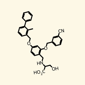 Cc1c(COc2ccc(CNC(CO)C(=O)O)c(OCc3cccc(C#N)c3)c2)cccc1-c1ccccc1